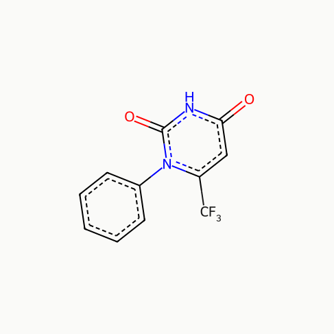 O=c1cc(C(F)(F)F)n(-c2ccccc2)c(=O)[nH]1